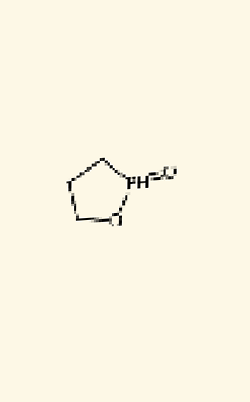 O=[PH]1CCCO1